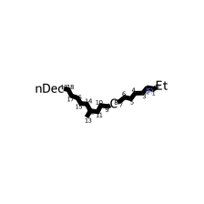 [CH2]C/C=C/CCCCCCCCCC(C)CCCCCCCCCCCCCC[CH2]